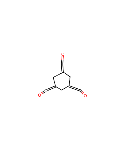 O=C=C1CC(=C=O)CC(=C=O)C1